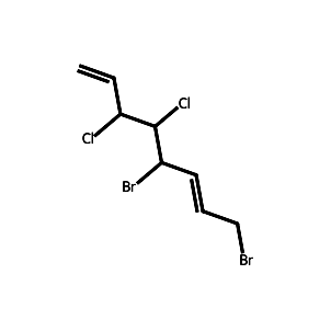 C=CC(Cl)C(Cl)C(Br)C=CCBr